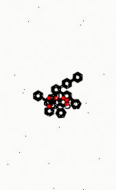 c1ccc(-c2ccc(-c3cccc(N(c4cccc(-c5ccccc5)c4)c4ccccc4C4(c5ccccc5)c5ccccc5-c5ccccc54)c3-c3ccc4c(c3)sc3ccccc34)cc2)cc1